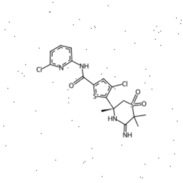 CC1(C)C(=N)N[C@](C)(c2sc(C(=O)Nc3cccc(Cl)n3)cc2Cl)CS1(=O)=O